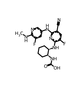 CNc1ncc(Nc2nc(N[C@@H]3CCCC[C@@H]3NC(=O)O)c(F)cc2C#N)cc1F